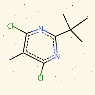 Cc1c(Cl)nc(C(C)(C)C)nc1Cl